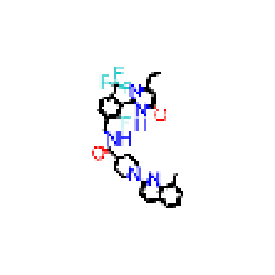 CCc1cc(=O)[nH]c(-c2c(C(F)(F)F)ccc(CNC(=O)C3CCN(c4ccc5cccc(C)c5n4)CC3)c2F)n1